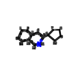 c1ccc2cc(C3CCCC3)ncc2c1